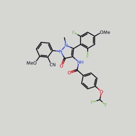 COc1cc(F)c(-c2c(NC(=O)c3ccc(OC(F)F)cc3)c(=O)n(-c3cccc(OC)c3C#N)n2C)c(F)c1